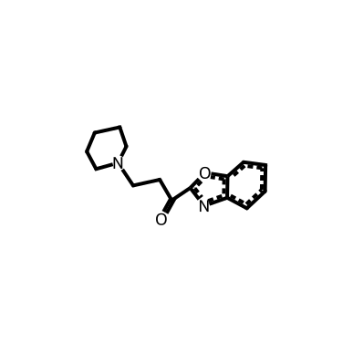 O=C(CCN1CCCCC1)c1nc2ccccc2o1